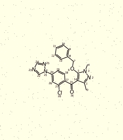 Cc1nn(C)c(OCc2ccccc2)c1C(=O)c1ccc(-n2cncn2)cc1Cl